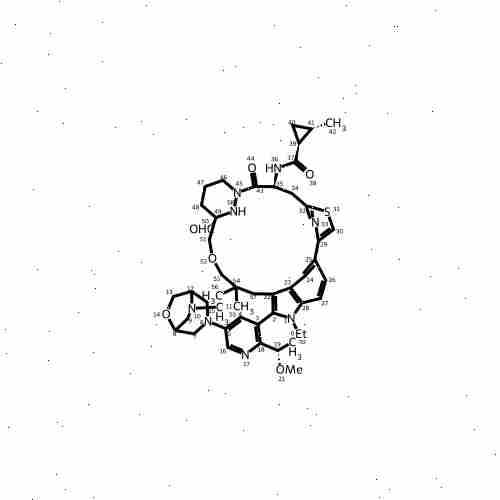 CCn1c(-c2cc(N3CC4CN(C)C(CO4)C3)cnc2[C@H](C)OC)c2c3cc(ccc31)-c1csc(n1)C[C@H](NC(=O)[C@H]1C[C@@H]1C)C(=O)N1CCC[C@](C=O)(COCC(C)(C)C2)N1